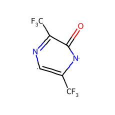 O=C1[N]C(C(F)(F)F)=[C]N=C1C(F)(F)F